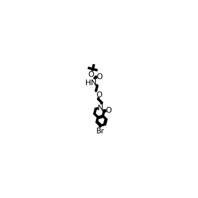 CC(C)(C)OC(=O)NCCOCCN1CCc2cc(Br)ccc2C1=O